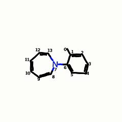 Cc1ccccc1N1C=CC=CC=C1